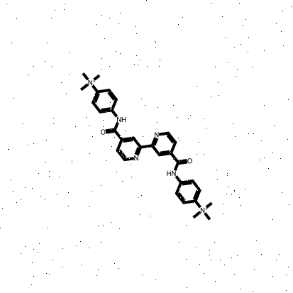 C[N+](C)(C)c1ccc(NC(=O)c2ccnc(-c3cc(C(=O)Nc4ccc([N+](C)(C)C)cc4)ccn3)c2)cc1